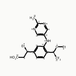 CCO[C@H](c1ccc([C@H](CC)CC(=O)O)cc1Nc1cnc(C)nc1)C(F)(F)F